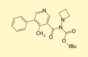 Cc1c(-c2ccccc2)[c]ncc1C(=O)N(C(=O)OC(C)(C)C)N1CCC1